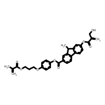 C=C(C)C(=O)OCCCOc1ccc(OC(=O)c2ccc3c(c2)C(C)c2cc(OC(=O)C(=C)CO)ccc2-3)cc1